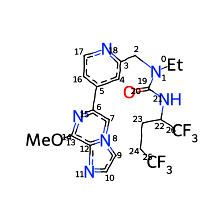 CCN(Cc1cc(-c2cn3ccnc3c(OC)n2)ccn1)C(=O)NC(CCC(F)(F)F)C(F)(F)F